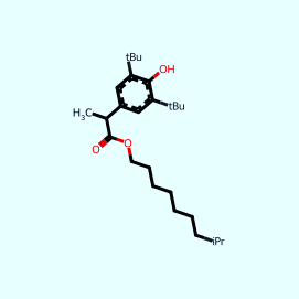 CC(C)CCCCCCCOC(=O)C(C)c1cc(C(C)(C)C)c(O)c(C(C)(C)C)c1